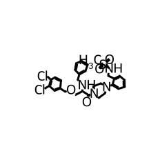 CS(=O)(=O)NCc1ccccc1N1CCN(C(=O)C(COCc2ccc(Cl)c(Cl)c2)NCc2ccccc2)CC1